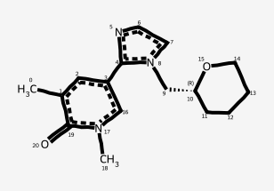 Cc1cc(-c2nccn2C[C@H]2CCCCO2)cn(C)c1=O